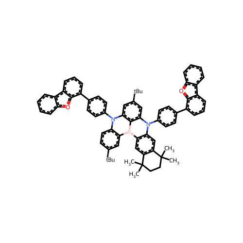 CC(C)(C)c1ccc2c(c1)B1c3cc4c(cc3N(c3ccc(-c5cccc6c5oc5ccccc56)cc3)c3cc(C(C)(C)C)cc(c31)N2c1ccc(-c2cccc3c2oc2ccccc23)cc1)C(C)(C)CCC4(C)C